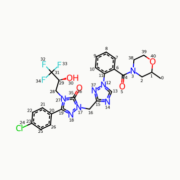 CC1CN(C(=O)c2ccccc2-n2cnc(Cn3nc(-c4ccc(Cl)cc4)n(C[C@H](O)C(F)(F)F)c3=O)n2)CCO1